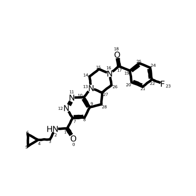 O=C(NCC1CC1)c1cc2c(nn1)N1CCN(C(=O)c3ccc(F)cc3)CC1C2